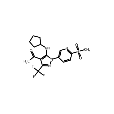 CC(=O)c1c(C(F)(F)F)nn(-c2ccc(S(C)(=O)=O)nc2)c1NC1CCCC1